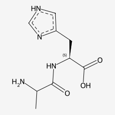 CC(N)C(=O)N[C@@H](Cc1c[nH]cn1)C(=O)O